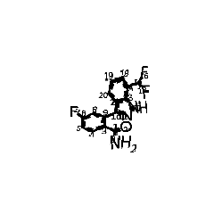 NC(=O)c1ccc(F)cc1-c1n[nH]c2c(C(F)F)cccc12